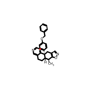 C[C@@H]1c2oncc2C[C@]2(c3ccc(OCc4ccccc4)cc3)c3ncncc3CC[C@@H]12